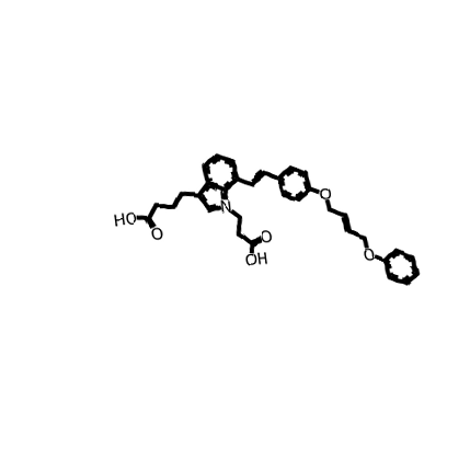 O=C(O)CCCc1cn(CCC(=O)O)c2c(C=Cc3ccc(OCC=CCOc4ccccc4)cc3)cccc12